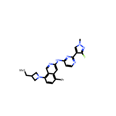 CSCC1CN(c2ccc(C(C)C)c3cc(Nc4ccnc(-c5cn(C)nc5F)n4)ncc23)C1